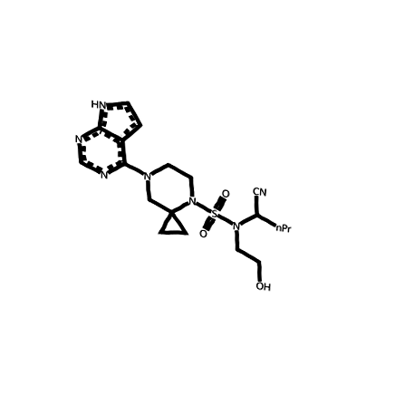 CCCC(C#N)N(CCO)S(=O)(=O)N1CCN(c2ncnc3[nH]ccc23)CC12CC2